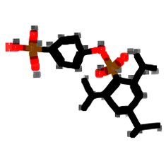 CC(C)c1cc(C(C)C)c(S(=O)(=O)Oc2ccc(S(=O)(=O)O)cc2)c(C(C)C)c1